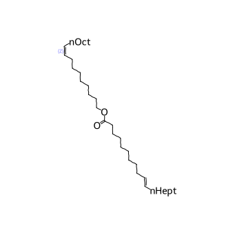 CCCCCCCC=CCCCCCCCCC(=O)OCCCCCCCC/C=C\CCCCCCCC